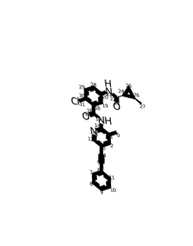 Cc1cc(C#Cc2ccccc2)cnc1NC(=O)c1cc(NC(=O)[C@@H]2C[C@H]2C)ccc1Cl